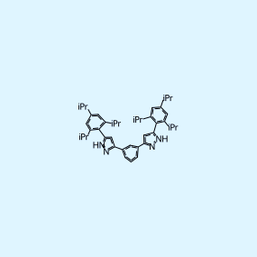 CC(C)c1cc(C(C)C)c(-c2cc(-c3cccc(-c4cc(-c5c(C(C)C)cc(C(C)C)cc5C(C)C)[nH]n4)c3)n[nH]2)c(C(C)C)c1